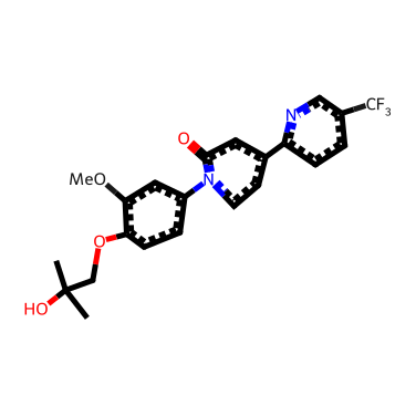 COc1cc(-n2ccc(-c3ccc(C(F)(F)F)cn3)cc2=O)ccc1OCC(C)(C)O